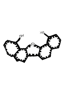 Oc1cccc2ccc3c4ccc5cccc(O)c5c4oc3c12